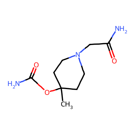 CC1(OC(N)=O)CCN(CC(N)=O)CC1